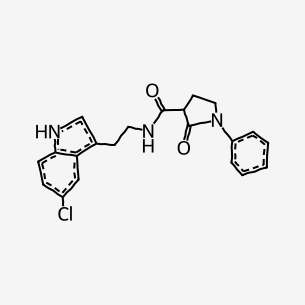 O=C(NCCc1c[nH]c2ccc(Cl)cc12)C1CCN(c2ccccc2)C1=O